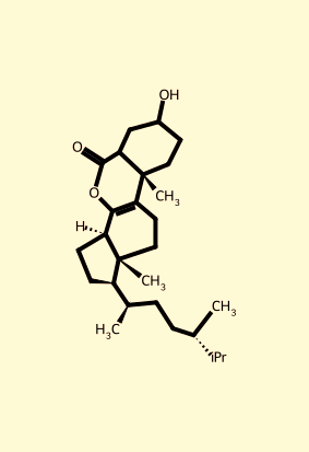 CC(C)[C@@H](C)CC[C@@H](C)[C@H]1CC[C@H]2C3=C(CC[C@]12C)[C@@]1(C)CCC(O)CC1C(=O)O3